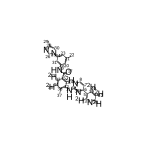 [2H]c1nc([2H])c(-c2ccnc(Nc3c([2H])c(C(=O)Nc4cc(C)cc(-n5cnc(C)c5)c4)c([2H])c([2H])c3C)n2)c([2H])c1[2H]